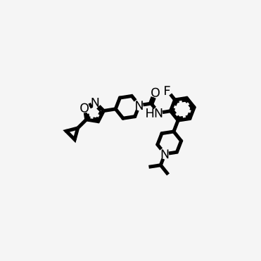 CC(C)N1CCC(c2cccc(F)c2NC(=O)N2CCC(c3cc(C4CC4)on3)CC2)CC1